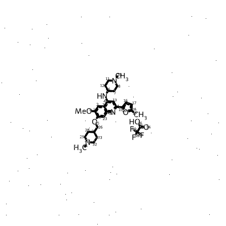 COc1cc2c(NC3CCN(C)CC3)cc(-c3ccc(C)o3)nc2cc1OCC1CCN(C)CC1.O=C(O)C(F)(F)F